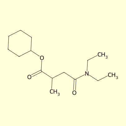 CCN(CC)C(=O)CC(C)C(=O)OC1CCCCC1